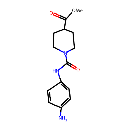 COC(=O)C1CCN(C(=O)Nc2ccc(N)cc2)CC1